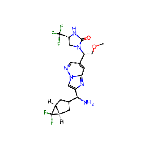 COC[C@H](c1cnn2cc(C(N)C3C[C@@H]4[C@H](C3)C4(F)F)nc2c1)N1C[C@@H](C(F)(F)F)NC1=O